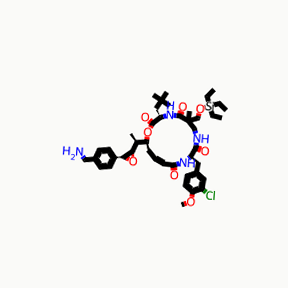 CC[Si](CC)(CC)OCC1(C)CNC(=O)[C@@H](Cc2ccc(OC)c(Cl)c2)NC(=O)C=CC[C@@H]([C@H](C)[C@H]2O[C@@H]2c2ccc(CN)cc2)OC(=O)[C@H](CC(C)(C)C)NC1=O